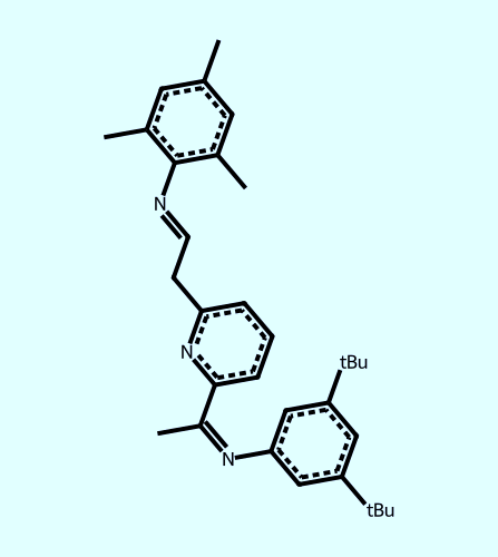 CC(=Nc1cc(C(C)(C)C)cc(C(C)(C)C)c1)c1cccc(CC=Nc2c(C)cc(C)cc2C)n1